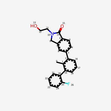 Cc1c(-c2ccc3c(c2)CN(CCO)C3=O)cccc1-c1ccccc1F